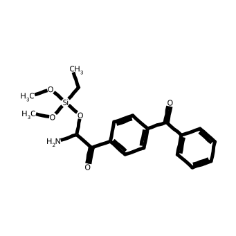 CC[Si](OC)(OC)OC(N)C(=O)c1ccc(C(=O)c2ccccc2)cc1